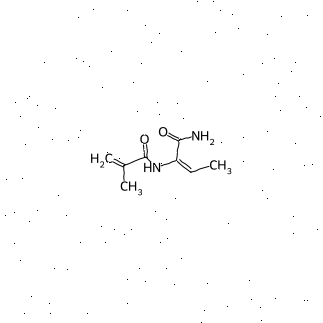 C=C(C)C(=O)NC(=CC)C(N)=O